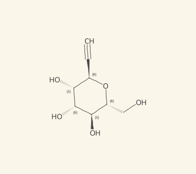 C#C[C@H]1O[C@H](CO)[C@@H](O)[C@H](O)[C@@H]1O